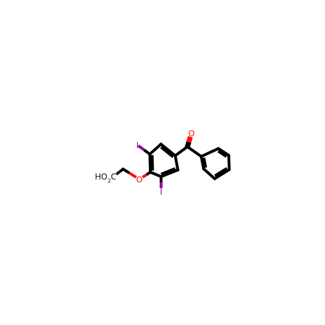 O=C(O)COc1c(I)cc(C(=O)c2ccccc2)cc1I